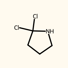 ClC1(Cl)CCCN1